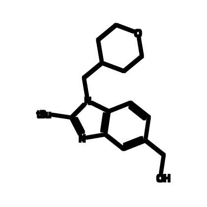 CC(C)(C)c1nc2cc(CO)ccc2n1CC1CCOCC1